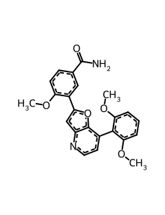 COc1ccc(C(N)=O)cc1-c1cc2nccc(-c3c(OC)cccc3OC)c2o1